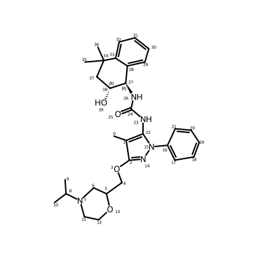 Cc1c(OCC2CN(C(C)C)CCO2)nn(-c2ccccc2)c1NC(=O)N[C@@H]1c2ccccc2C(C)(C)C[C@H]1O